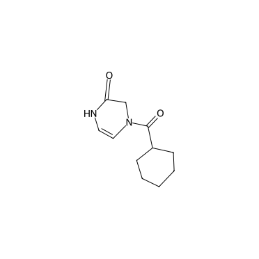 O=C1CN(C(=O)C2CCCCC2)C=CN1